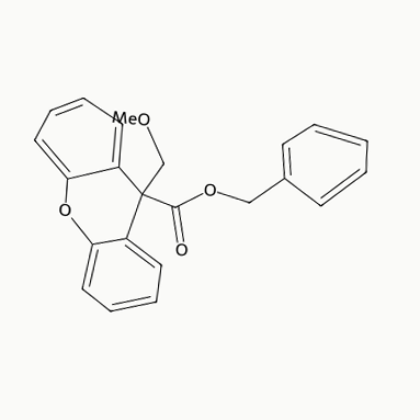 COCC1(C(=O)OCc2ccccc2)c2ccccc2Oc2ccccc21